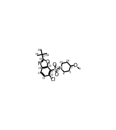 COC1CCN(S(=O)(=O)c2c(Cl)ccc3nc(C(C)(C)C)oc23)CC1